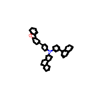 c1cc(-c2cccc3ccccc23)cc(N(c2ccc(-c3ccc4oc5ccccc5c4c3)cc2)c2ccc3c(ccc4ccccc43)c2)c1